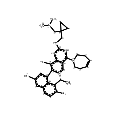 CCc1c(F)ccc2cc(O)cc(-c3ncc4c(N5CCC=CCC5)nc(OCC5(CN(C)C)CC5)nc4c3F)c12